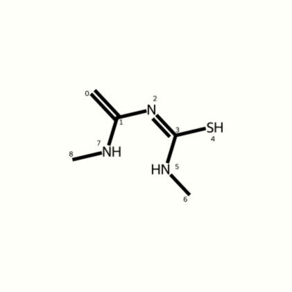 C=C(/N=C(/S)NC)NC